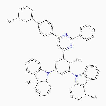 CC1C=CC=C(c2ccc(-c3cc(C4C=C(N5c6ccccc6C6(C)C=CC=CC56)C=C(n5c6c(c7ccccc75)C(C)CC=C6)C4C)nc(-c4ccccc4)n3)cc2)C1